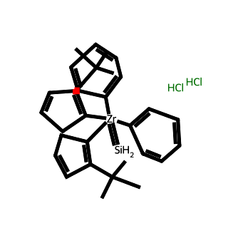 CC(C)(C)C1=[C]([Zr](=[SiH2])([C]2=C(C(C)(C)C)C=CC2)([c]2ccccc2)[c]2ccccc2)CC=C1.Cl.Cl